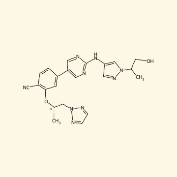 CC(CO)n1cc(Nc2ncc(-c3ccc(C#N)c(O[C@@H](C)Cn4nccn4)c3)cn2)cn1